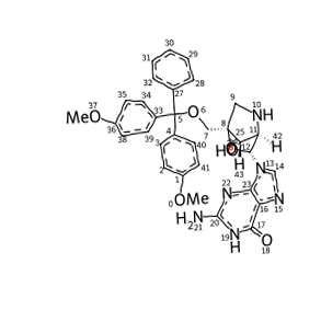 COc1ccc(C(OC[C@@]23CN[C@@H]([C@H](n4cnc5c(=O)[nH]c(N)nc54)O2)[C@@H]3O)(c2ccccc2)c2ccc(OC)cc2)cc1